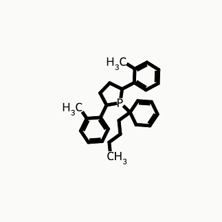 CCCCC1(P2C(c3ccccc3C)CCC2c2ccccc2C)C=CC=CC1